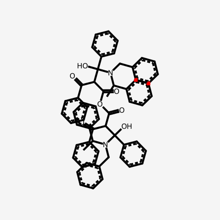 CC(c1ccccc1)N(Cc1ccccc1)C(O)(c1ccccc1)C(C(=O)OC(=O)C(C(=O)c1ccccc1)C(O)(c1ccccc1)N(Cc1ccccc1)C(C)c1ccccc1)C(=O)c1ccccc1